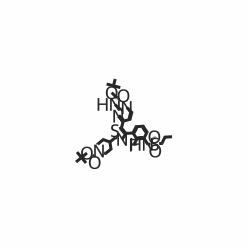 CCCS(=O)(=O)Nc1cccc(-c2nc(C3CCN(C(=O)OC(C)(C)C)CC3)sc2-c2ccnc(NC(=O)OC(C)(C)C)n2)c1F